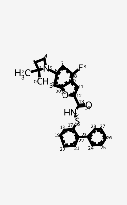 CC1(C)CCN1c1cc(F)c2cc(C(=O)NSc3ccccc3-c3ccccc3)oc2c1